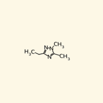 CCc1nc(C)n(C)n1